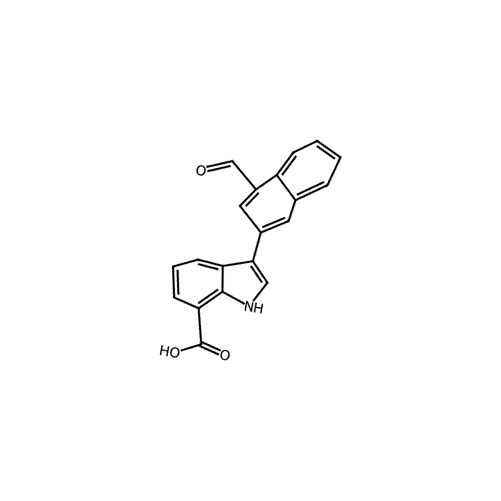 O=Cc1cc(-c2c[nH]c3c(C(=O)O)cccc23)cc2ccccc12